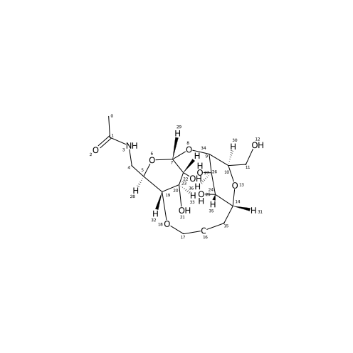 CC(=O)NC[C@H]1O[C@@H]2OC3[C@@H](CO)O[C@H](CCCO[C@H]1[C@H](O)[C@H]2O)[C@H](O)[C@H]3O